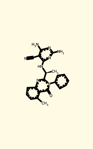 Cc1cccc2nc([C@H](C)Nc3nc(N)nc(N)c3C#N)n(-c3ccccc3)c(=O)c12